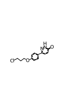 O=c1ccc(-c2ccc(OCCCCl)cc2)n[nH]1